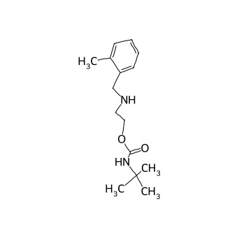 Cc1ccccc1CNCCOC(=O)NC(C)(C)C